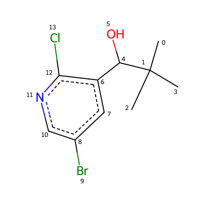 CC(C)(C)C(O)c1cc(Br)cnc1Cl